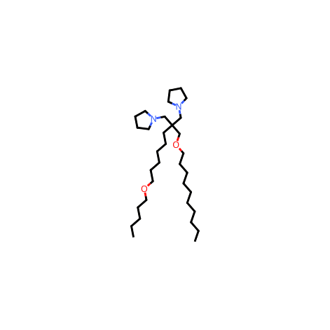 CCCCCCCCCCOCC(CCCCCCOCCCCC)(CN1CCCC1)CN1CCCC1